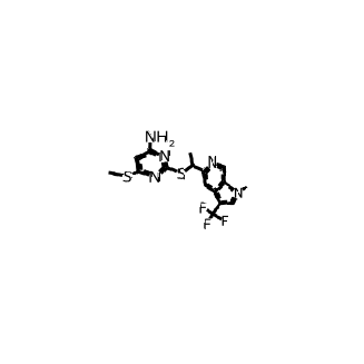 CSc1cc(N)nc(SC(C)c2cc3c(C(F)(F)F)cn(C)c3cn2)n1